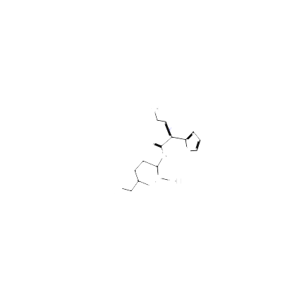 O=C(O)CC1CCC(NC(=O)/C(=C\CO)c2cccs2)B(O)O1